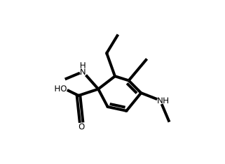 CCC1C(C)=C(NC)C=CC1(NC)C(=O)O